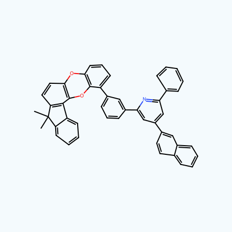 CC1(C)c2ccccc2-c2c1ccc1c2Oc2c(cccc2-c2cccc(-c3cc(-c4ccc5ccccc5c4)cc(-c4ccccc4)n3)c2)O1